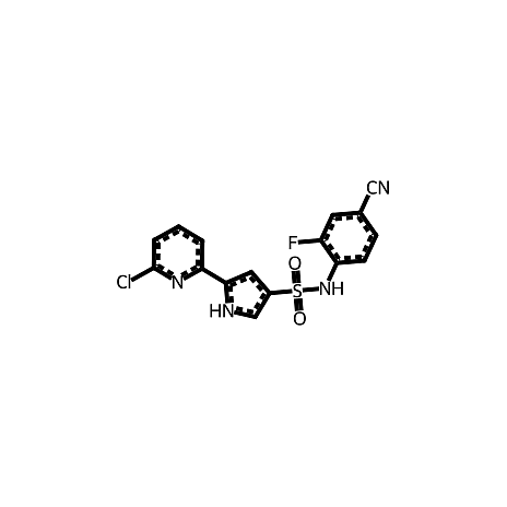 N#Cc1ccc(NS(=O)(=O)c2c[nH]c(-c3cccc(Cl)n3)c2)c(F)c1